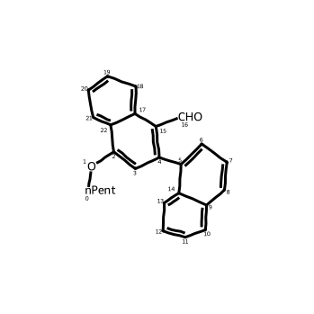 CCCCCOc1cc(-c2cccc3ccccc23)c(C=O)c2ccccc12